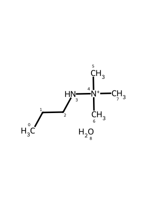 CCCN[N+](C)(C)C.O